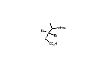 CCCCCCC(C)[Si](CC)(CC)OC(=O)O